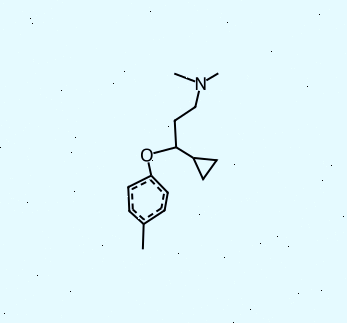 Cc1ccc(OC(CCN(C)C)C2CC2)cc1